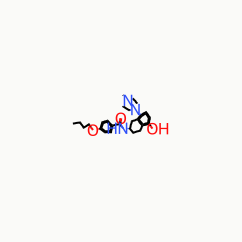 CCCCOc1ccc(C(=O)N[C@@H]2CCc3c(O)ccc(N4CCN(C)CC4)c3C2)cc1